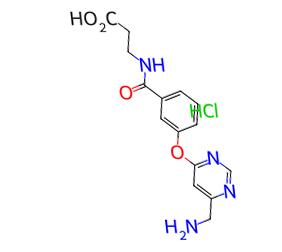 Cl.NCc1cc(Oc2cccc(C(=O)NCCC(=O)O)c2)ncn1